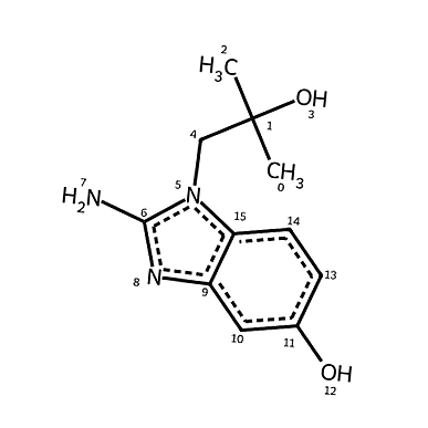 CC(C)(O)Cn1c(N)nc2cc(O)ccc21